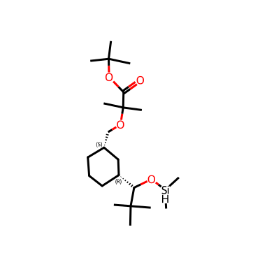 C[SiH](C)OC([C@@H]1CCC[C@H](COC(C)(C)C(=O)OC(C)(C)C)C1)C(C)(C)C